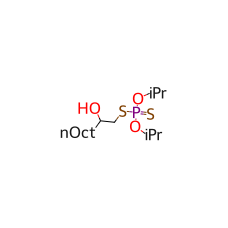 CCCCCCCCC(O)CSP(=S)(OC(C)C)OC(C)C